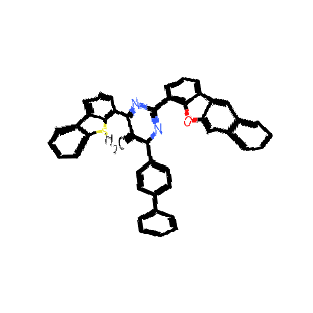 C=C1C(c2cccc3c2sc2ccccc23)=NC(c2cccc3c2oc2cc4ccccc4cc23)=NC1c1ccc(-c2ccccc2)cc1